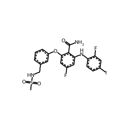 CS(=O)(=O)NCc1cccc(Oc2cc(F)cc(Nc3ccc(I)cc3F)c2C(N)=O)c1